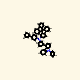 c1ccc(-c2ccc(N(c3cccc(-c4cccc5c4c4ccccc4n5-c4ccccc4)c3)c3ccc4c(c3)C3(c5ccccc5-c5ccccc53)c3ccccc3-4)cc2)cc1